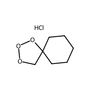 C1CCC2(CC1)COOO2.Cl